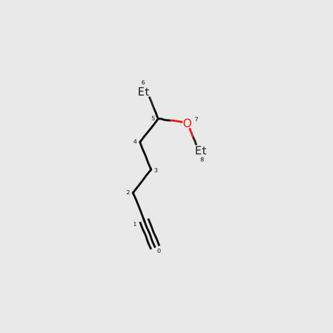 C#CCCCC(C[CH2])OCC